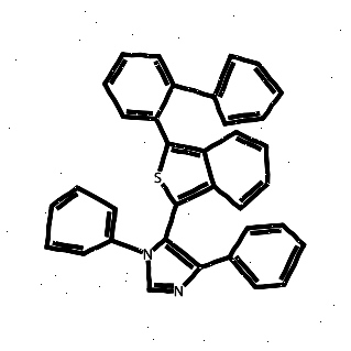 c1ccc(-c2ccccc2-c2sc(-c3c(-c4ccccc4)ncn3-c3ccccc3)c3ccccc23)cc1